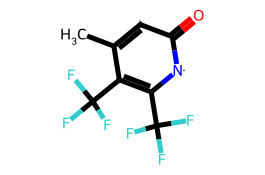 CC1=[C]C(=O)[N]C(C(F)(F)F)=C1C(F)(F)F